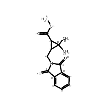 COC(=O)C1C(CN2C(=O)c3ccccc3C2=O)C1(C)C